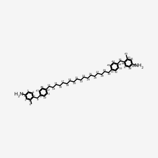 Cc1cc(N)ccc1Cc1ccc(CCCCCCCCCCCCCCCCCCc2ccc(Cc3ccc(N)cc3C)cc2)cc1